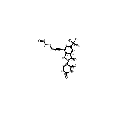 O=CCCCC#Cc1cc(C(F)(F)F)cc2c1CN(C1CCC(=O)NC1=O)C2=O